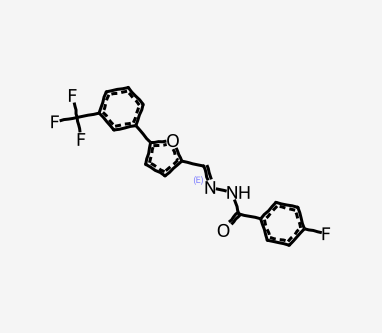 O=C(N/N=C/c1ccc(-c2cccc(C(F)(F)F)c2)o1)c1ccc(F)cc1